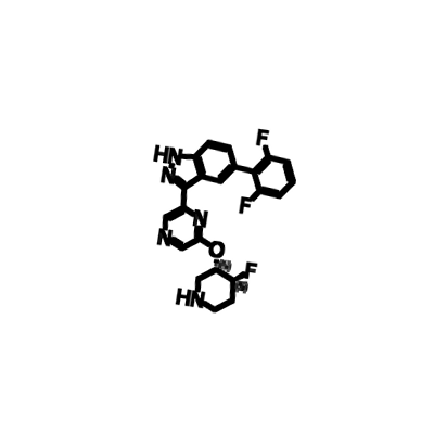 Fc1cccc(F)c1-c1ccc2[nH]nc(-c3cncc(O[C@H]4CNCC[C@@H]4F)n3)c2c1